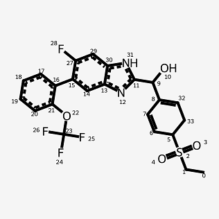 CCS(=O)(=O)C1C=CC(C(O)c2nc3cc(-c4ccccc4OC(F)(F)F)c(F)cc3[nH]2)=CC1